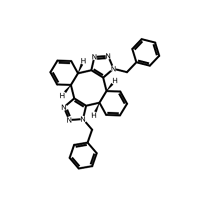 C1=C[C@@H]2c3nnn(Cc4ccccc4)c3[C@@H]3C=CC=C[C@@H]3c3c(nnn3Cc3ccccc3)[C@@H]2C=C1